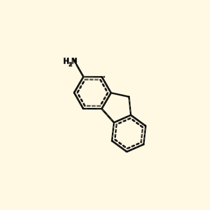 Nc1[c]c2c(cc1)-c1ccccc1C2